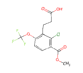 COC(=O)c1ccc(OC(F)(F)F)c(CCC(=O)O)c1Cl